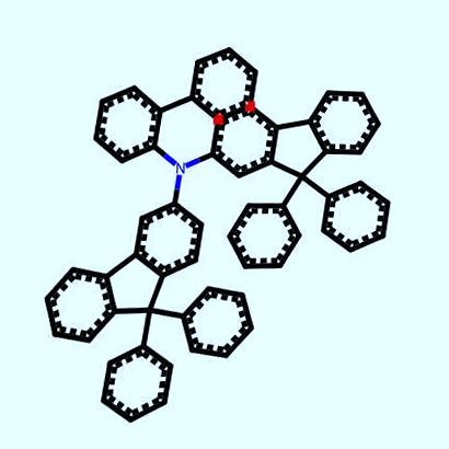 c1ccc(-c2ccccc2N(c2ccc3c(c2)-c2ccccc2C3(c2ccccc2)c2ccccc2)c2ccc3c(c2)C(c2ccccc2)(c2ccccc2)c2ccccc2-3)cc1